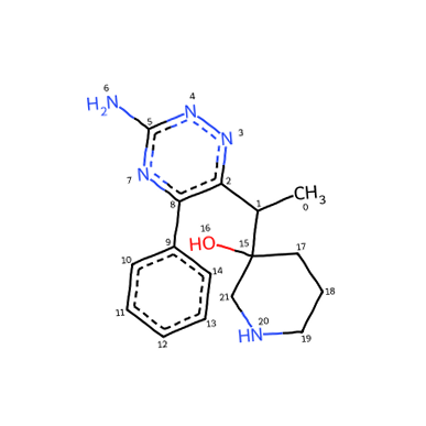 CC(c1nnc(N)nc1-c1ccccc1)C1(O)CCCNC1